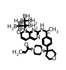 BC(B)(B)C(B)(n1c(=O)ccc2cnc(N[C@@H](C)c3ccc(C4(N5CCN(C(=O)C=C)CC5)CCOCC4)cc3)nc21)C(B)(B)B